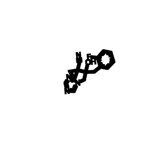 N#CC1(C(O)(Cc2ccccc2F)Cn2cncn2)CC1